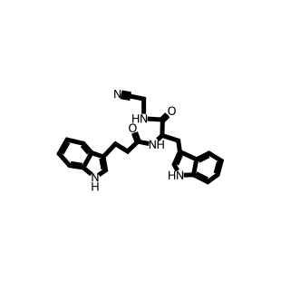 N#CCNC(=O)C(Cc1c[nH]c2ccccc12)NC(=O)CCc1c[nH]c2ccccc12